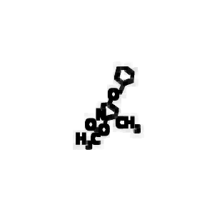 CC(=O)Oc1ncc(OCc2ccccc2)cc1C